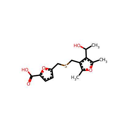 Cc1oc(C)c(C(C)O)c1CSCc1ccc(C(=O)O)o1